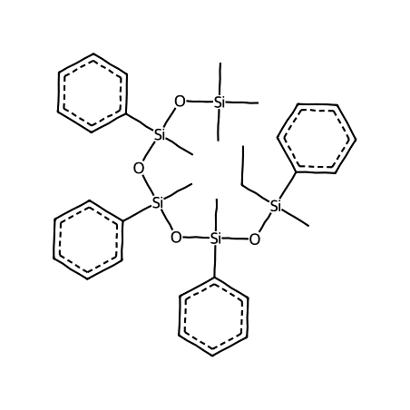 CC[Si](C)(O[Si](C)(O[Si](C)(O[Si](C)(O[Si](C)(C)C)c1ccccc1)c1ccccc1)c1ccccc1)c1ccccc1